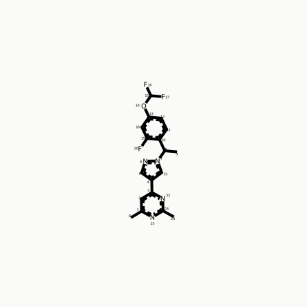 Cc1cc(-c2cnn(C(C)c3ccc(OC(F)F)cc3F)c2)nc(C)n1